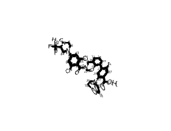 CN1CCN(c2cc(Cl)c(C(=O)N3COc4c(cccc4-c4cc(N5CC6CCCC5CO6)c(C(=O)O)cc4F)C3)c(Cl)c2)CC1C(F)(F)F